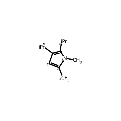 CC(C)c1cc(C(F)(F)F)n(C)c1C(C)C